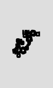 CS(=O)(=O)N1CC(C2CCN2C(=O)c2ccc(OCCN3CCC4(CC3)C(=O)Nc3ccc(Cl)cc34)cc2F)C1